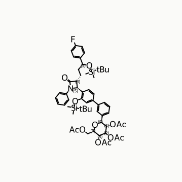 CC(=O)OC[C@H]1O[C@@H](c2cccc(-c3ccc([C@@H]4[C@@H](CC[C@H](O[Si](C)(C)C(C)(C)C)c5ccc(F)cc5)C(=O)N4c4ccccc4)c(O[Si](C)(C)C(C)(C)C)c3)c2)[C@H](OC(C)=O)[C@@H](OC(C)=O)[C@@H]1OC(C)=O